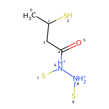 CC(S)CC(=O)[NH+]([S-])[NH2+][S-]